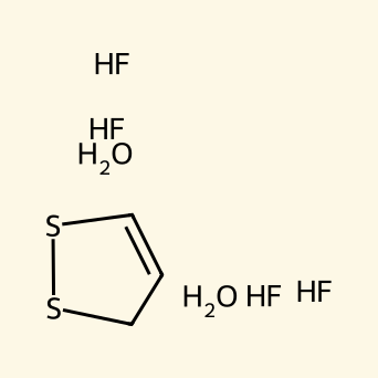 C1=CSSC1.F.F.F.F.O.O